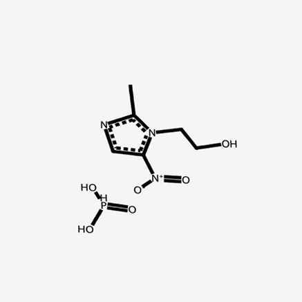 Cc1ncc([N+](=O)[O-])n1CCO.O=[PH](O)O